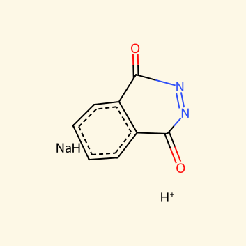 O=C1N=NC(=O)c2ccccc21.[H+].[NaH]